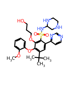 COc1ccccc1Oc1c(C(C)(C)C)cc(-c2ccncn2)c(S(=O)(=O)NC2CNCCN2)c1OCCCO